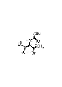 C=C(Br)/C(NC(=O)C(C)(C)C)=C(\C)CC